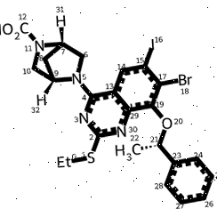 CCSc1nc(N2C[C@@H]3C[C@H]2CN3C(=O)O)c2cc(I)c(Br)c(O[C@@H](C)c3ccccc3)c2n1